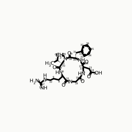 CC(C)[C@H]1C(=O)NC(CCCNC(=N)N)C(=O)NCC(=O)NC(CC(=O)O)C(=O)N[C@@H](Cc2ccccc2)C(=O)N1C